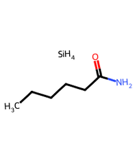 CCCCCC(N)=O.[SiH4]